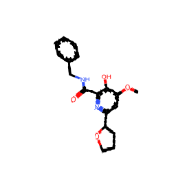 COc1cc(C2CCCO2)nc(C(=O)NCc2ccccc2)c1O